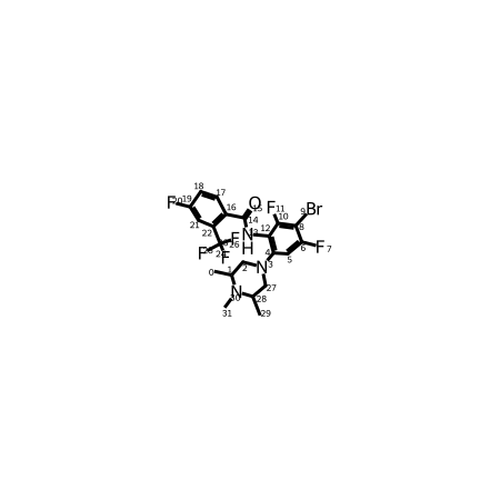 CC1CN(c2cc(F)c(Br)c(F)c2NC(=O)c2ccc(F)cc2C(F)(F)F)CC(C)N1C